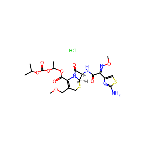 COCC1=C(C(=O)OC(C)OC(=O)OC(C)C)N2C(=O)[C@@H](NC(=O)C(=NOC)c3csc(N)n3)[C@H]2SC1.Cl